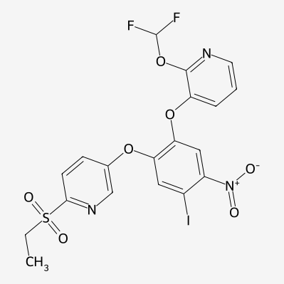 CCS(=O)(=O)c1ccc(Oc2cc(I)c([N+](=O)[O-])cc2Oc2cccnc2OC(F)F)cn1